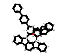 c1ccc(-c2ccc(-c3nc(-c4ccccc4)nc(-n4c5ccccc5c5ccc6c7ccccc7n(-c7cccc(-c8ccccc8)c7)c6c54)n3)cc2)cc1